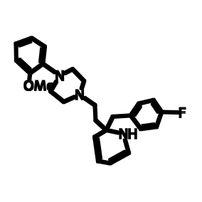 COc1ccccc1N1CCN(CCC2(Cc3ccc(F)cc3)C=CC=CN2)CC1